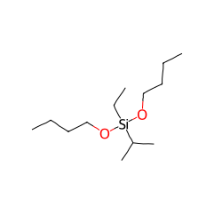 CCCCO[Si](CC)(OCCCC)C(C)C